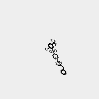 O=S(=O)(c1cc(C(F)(F)F)ccc1Cl)C1CCN(c2nc(Cc3ccccc3)cs2)CC1